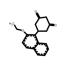 CCOc1ccc2ccccc2c1C1CC(=O)CC(=O)C1